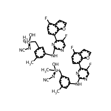 Cc1cc(C[SH](C)(O)=NC#N)cc(Nc2ncc(F)c(-c3ccc(F)c4ccoc34)n2)c1.Cc1cc(C[SH](C)(O)=NC#N)cc(Nc2ncc(F)c(-c3ccc(F)c4ccoc34)n2)c1